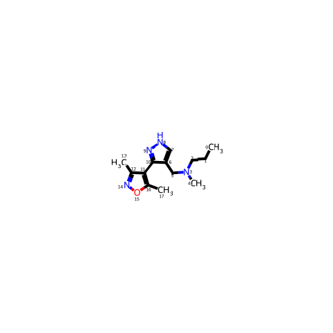 CCCN(C)Cc1c[nH]nc1-c1c(C)noc1C